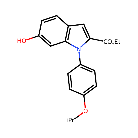 CCOC(=O)c1cc2ccc(O)cc2n1-c1ccc(OC(C)C)cc1